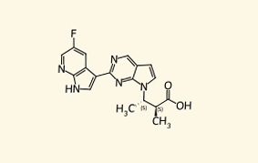 C[C@H](C(=O)O)[C@H](C)n1ccc2cnc(-c3c[nH]c4ncc(F)cc34)nc21